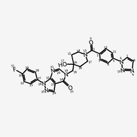 O=C(c1ccc(-n2ccnn2)cc1)N1CCC(O)(Cn2cnc3c(cnn3-c3ccc(F)cc3)c2=O)CC1